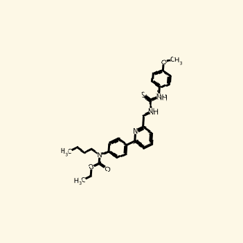 CCCCN(C(=O)OCC)c1ccc(-c2cccc(CNC(=S)Nc3ccc(OC)cc3)n2)cc1